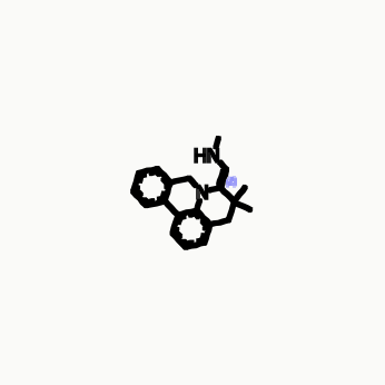 CN/C=C1\N2Cc3ccccc3-c3cccc(c32)CC1(C)C